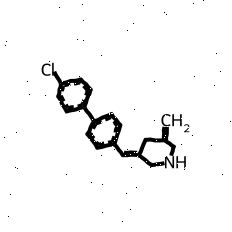 C=C1CNCC(=Cc2ccc(-c3ccc(Cl)cc3)cc2)C1